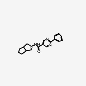 O=C(NN1CC2CCCC2C1)c1cnc(-c2ccccc2)nc1